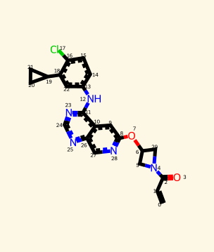 C=CC(=O)N1CC(Oc2cc3c(Nc4ccc(Cl)c(C5CC5)c4)ncnc3cn2)C1